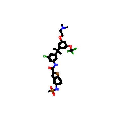 CN(C)CCOc1cc(OC(F)(F)F)cc(C(C)(C)c2cc(Cl)cc(NC(=O)c3cc4cc(NS(C)(=O)=O)ccc4s3)c2)c1